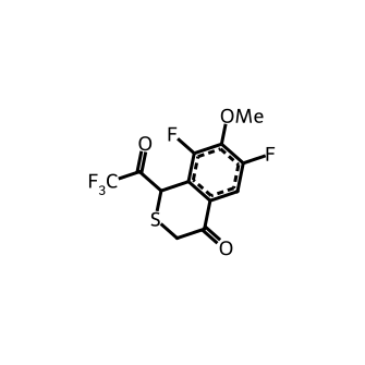 COc1c(F)cc2c(c1F)C(C(=O)C(F)(F)F)SCC2=O